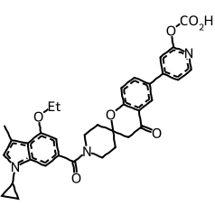 CCOc1cc(C(=O)N2CCC3(CC2)CC(=O)c2cc(-c4ccnc(OC(=O)O)c4)ccc2O3)cc2c1c(C)cn2C1CC1